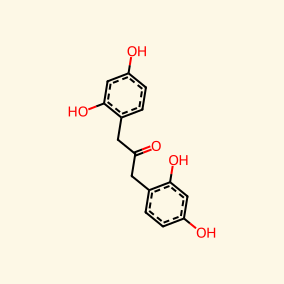 O=C(Cc1ccc(O)cc1O)Cc1ccc(O)cc1O